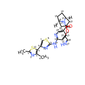 Cc1nc(C)c(-c2csc(Nc3ccc(C(=O)N4[C@@H]5CC[C@H]4C[C@@H](OCC=N)C5)cn3)n2)s1